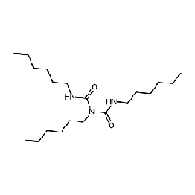 CCCCCCNC(=O)N(CCCCCC)C(=O)NCCCCCC